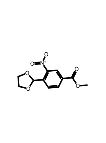 COC(=O)c1ccc(C2OCCO2)c([N+](=O)[O-])c1